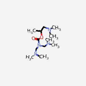 CC(CN(C)C)OC(=O)N(CN(C)C)CN(C)C